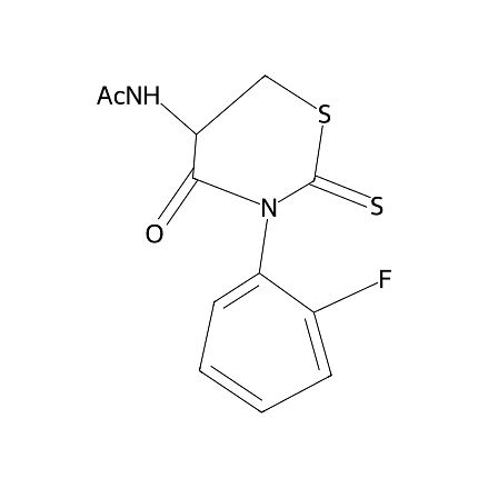 CC(=O)NC1CSC(=S)N(c2ccccc2F)C1=O